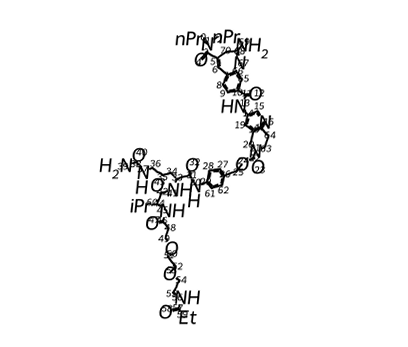 CCCN(CCC)C(=O)C1=Cc2ccc(C(=O)Nc3cnc4c(c3)CN(C(=O)OCc3ccc(NC(=O)[C@H](CCCNC(N)=O)NC(=O)[C@@H](NC(=O)CCOCCOCCNC(=O)CC)C(C)C)cc3)CC4)cc2N=C(N)C1